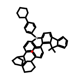 CC1(C)c2ccccc2-c2ccc(N(c3ccc(C4CCCCC4)cc3)c3ccc(C4CC5CCC4C5)cc3)c(-c3ccc(C4CCCCC4)cc3)c21